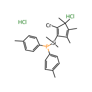 CC1=C(C)C(C)(C)[C]([Cr])=C1[Si](C)(C)P(c1ccc(C)cc1)c1ccc(C)cc1.Cl.Cl